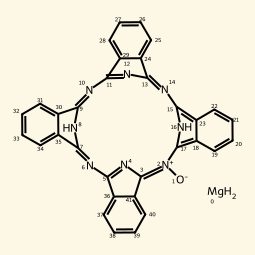 [MgH2].[O-][n+]1c2nc(nc3[nH]c(nc4nc(nc5[nH]c1c1ccccc51)-c1ccccc1-4)c1ccccc31)-c1ccccc1-2